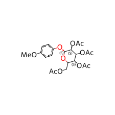 COc1ccc(O[C@@H]2OC(COC(C)=O)[C@H](OC(C)=O)C(OC(C)=O)[C@@H]2OC(C)=O)cc1